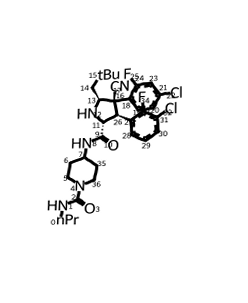 CCCNC(=O)N1CCC(NC(=O)[C@@H]2N[C@@H](CC(C)(C)C)[C@](C#N)(c3ccc(Cl)cc3F)[C@H]2c2cccc(Cl)c2F)CC1